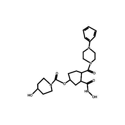 O=C(NO)C1CC(OC(=O)N2CCC(O)CC2)CCC1C(=O)N1CCN(c2ccccc2)CC1